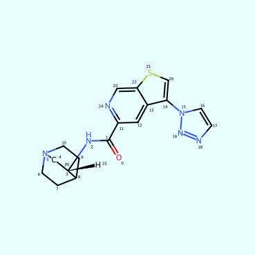 O=C(N[C@H]1CN2CCC1CC2)c1cc2c(-n3ccnn3)csc2cn1